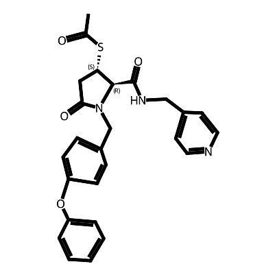 CC(=O)S[C@H]1CC(=O)N(Cc2ccc(Oc3ccccc3)cc2)[C@@H]1C(=O)NCc1ccncc1